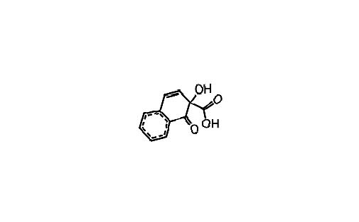 O=C(O)C1(O)C=Cc2ccccc2C1=O